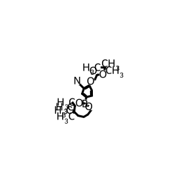 CC(C)(C)OC(=O)COc1ccc(B2OCCCCC(C)(C)C(C)(C)O2)cc1C#N